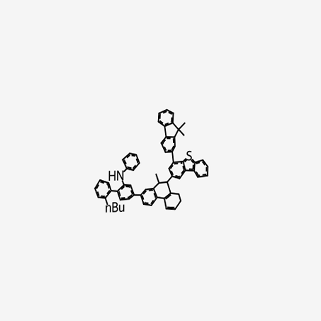 CCCCc1ccccc1-c1ccc(-c2ccc3c(c2)C(C)C(c2cc(-c4ccc5c(c4)C(C)(C)c4ccccc4-5)c4sc5ccccc5c4c2)C2=C3C=CCC2)cc1Nc1ccccc1